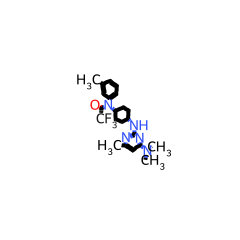 Cc1cccc(N(C(=O)C(F)(F)F)C2CCC(Nc3nc(C)cc(N(C)C)n3)CC2)c1